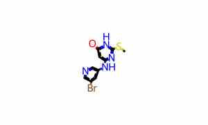 CSc1nc(Nc2cncc(Br)c2)cc(=O)[nH]1